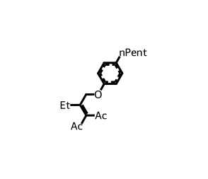 CCCCCc1ccc(OCC(CC)=C(C(C)=O)C(C)=O)cc1